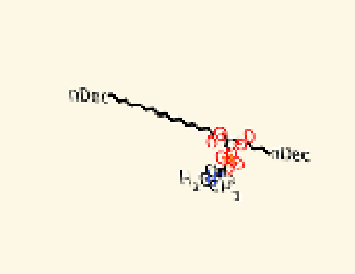 CCCCCCCCCCCCCCCCCCCCCCCCCC(=O)O[C@H](COC(=O)CCCCCCCCCCCCC)COP(=O)([O-])OCC[N+](C)(C)C